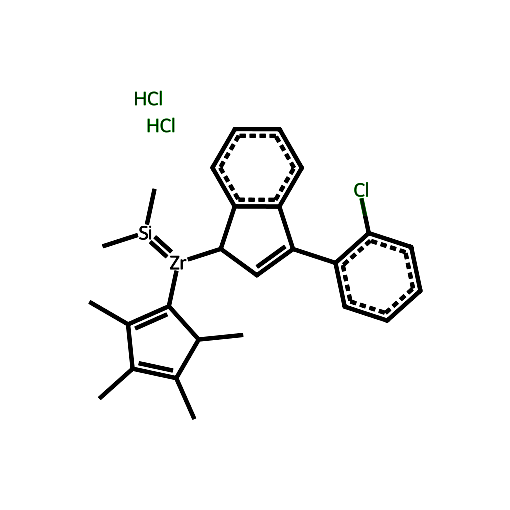 CC1=C(C)C(C)[C]([Zr]([CH]2C=C(c3ccccc3Cl)c3ccccc32)=[Si](C)C)=C1C.Cl.Cl